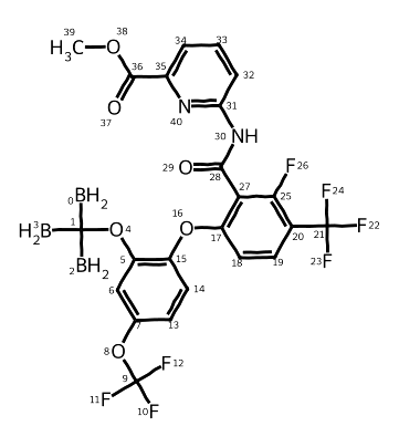 BC(B)(B)Oc1cc(OC(F)(F)F)ccc1Oc1ccc(C(F)(F)F)c(F)c1C(=O)Nc1cccc(C(=O)OC)n1